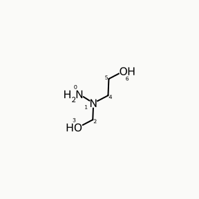 NN(CO)CCO